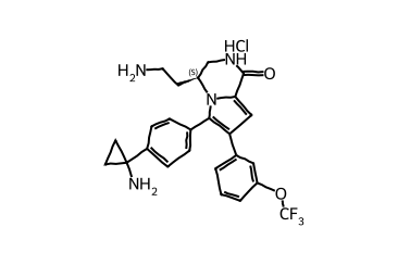 Cl.NCC[C@H]1CNC(=O)c2cc(-c3cccc(OC(F)(F)F)c3)c(-c3ccc(C4(N)CC4)cc3)n21